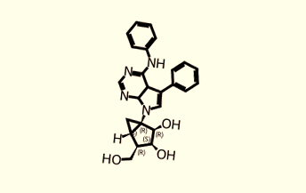 OC[C@@H]1[C@H](O)[C@H](O)[C@@]2(N3C=C(c4ccccc4)C4C(Nc5ccccc5)=NC=NC43)C[C@@H]12